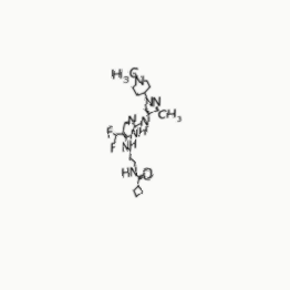 Cc1nn(C2CCN(C)CC2)cc1Nc1ncc(C(F)F)c(NCCCNC(=O)C2CCC2)n1